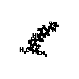 Cc1cc(C)n2ncc(C(=O)Nc3ccc(-c4cscn4)cc3)c2n1